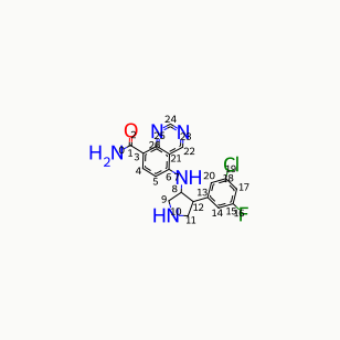 NC(=O)c1ccc(NC2CNCC2c2cc(F)cc(Cl)c2)c2cncnc12